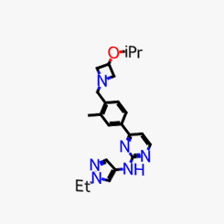 CCn1cc(Nc2nccc(-c3ccc(CN4CC(OC(C)C)C4)c(C)c3)n2)cn1